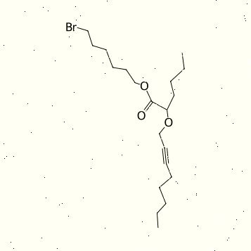 CCCCCC#CCOC(CCCC)C(=O)OCCCCCCBr